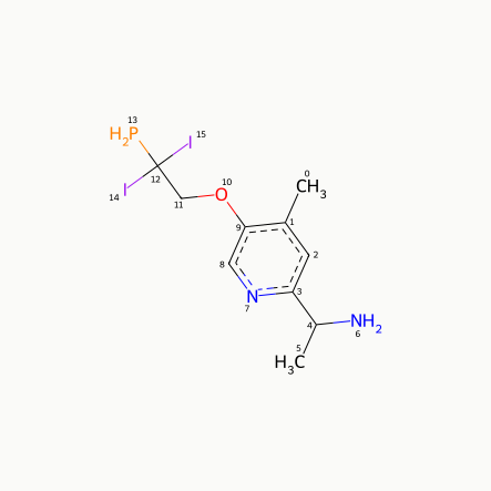 Cc1cc(C(C)N)ncc1OCC(P)(I)I